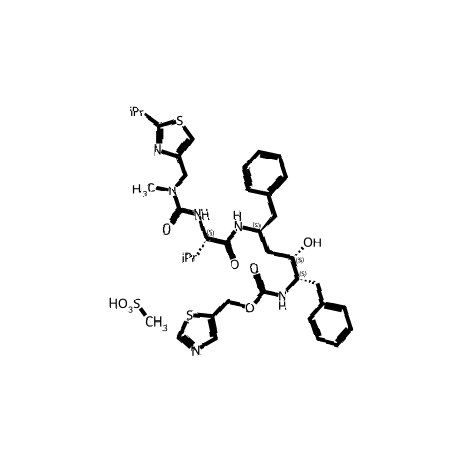 CC(C)c1nc(CN(C)C(=O)N[C@H](C(=O)N[C@@H](Cc2ccccc2)C[C@H](O)[C@H](Cc2ccccc2)NC(=O)OCc2cncs2)C(C)C)cs1.CS(=O)(=O)O